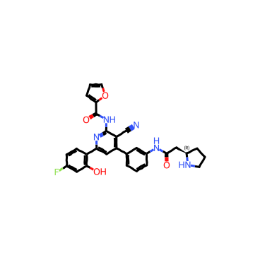 N#Cc1c(-c2cccc(NC(=O)C[C@H]3CCCN3)c2)cc(-c2ccc(F)cc2O)nc1NC(=O)c1ccco1